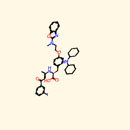 C1CCC(NC2CCCCC2)CC1.CC(=CC(=O)c1cccc(I)c1)N[C@@H](Cc1ccc(OCCN(C)c2nc3ccccc3o2)cc1)C(=O)O